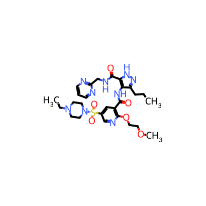 CCCc1n[nH]c(C(=O)NCc2ncccn2)c1NC(=O)c1cc(S(=O)(=O)N2CCN(CC)CC2)cnc1OCCOC